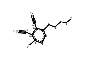 CCCCCc1ccc(I)c(C#N)c1C#N